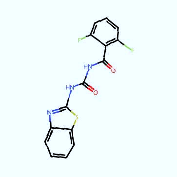 O=C(NC(=O)c1c(F)cccc1F)Nc1nc2ccccc2s1